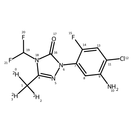 [2H]C([2H])([2H])c1nn(-c2cc(N)c(Cl)cc2F)c(=O)n1C(F)F